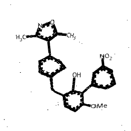 COc1ccc(Cc2ccc(-c3c(C)noc3C)cc2)c(O)c1-c1cccc([N+](=O)[O-])c1